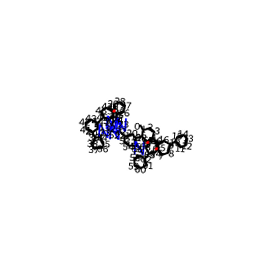 CC1C=CC(c2cccc(-c3ccccc3)c2)=CC1c1cc(-c2nc(-c3ccccc3)nc(-n3c4ccccc4c4cccc(-c5ccccc5)c43)n2)ccc1-n1c2ccccc2c2ccccc21